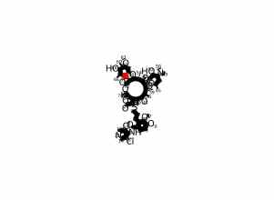 COc1ccc(C(=O)Nc2c(Cl)cncc2Cl)c(CCCS[C@@H]2C(=O)O[C@@]3(C)[C@H]2[C@@H](C)C(=O)[C@H](C)C[C@@](C)(OC)[C@H](O[C@@H]2O[C@H](C)C[C@H](N(C)C)[C@H]2O)[C@@H](C)[C@H](O[C@H]2C[C@@](C)(OC)[C@@H](O)[C@H](C)O2)[C@@H](C)C(=O)O[C@@H]3I)c1OC